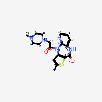 Cc1cc2c(s1)C(=O)Nc1cccnc1N2C(=O)CN1CCN(C)CC1